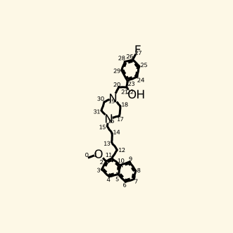 COc1ccc2ccccc2c1CCCCN1CCN(CC(O)c2ccc(F)cc2)CC1